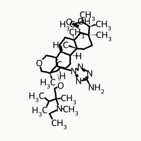 CCN(C)[C@@](C)(CO[C@H]1[C@H](n2nnc(N)n2)C[C@@]23COC[C@]1(C)[C@@H]2CC[C@H]1C3=CC[C@@]2(C)[C@H](C(=O)O)[C@@](C)([C@H](C)C(C)C)CC[C@]12C)C(C)C